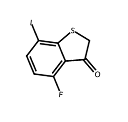 O=C1CSc2c(I)ccc(F)c21